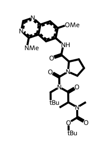 CNc1ncnc2cc(OC)c(NC(=O)C3CCCN3C(=O)N(CC(C)(C)C)C(=O)C(C)N(C)C(=O)OC(C)(C)C)cc12